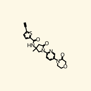 C#Cc1ccc(C(=O)NC2(C)CC(=O)N(c3ccc(N4CCOCC4=O)cn3)C2)s1